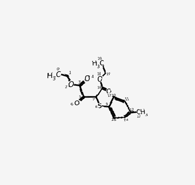 CCOC(=O)C(=O)C(Sc1ccc(C)cc1)C(=O)OCC